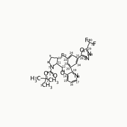 CC(C)(C)OC(=O)N1CCCC1COc1cccnc1-c1cc(F)cc(-c2nnc(C(F)F)o2)c1